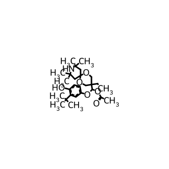 CCC1(C(OC(C)=O)Oc2ccc(O)c(C(C)(C)C)c2)COC2(CC(C)(C)NC(C)(C)C2)OC1